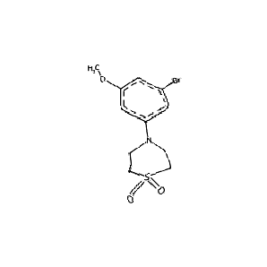 COc1cc(Br)cc(N2CCS(=O)(=O)CC2)c1